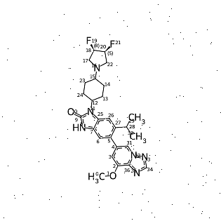 COc1cc(-c2cc3[nH]c(=O)n(C4CCC(N5C[C@@H](F)[C@@H](F)C5)CC4)c3cc2C(C)C)cn2ncnc12